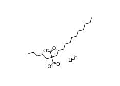 CCCCCCCCCCCCC(CCCCC)(C(=O)[O-])C(=O)[O-].[Li+].[Li+]